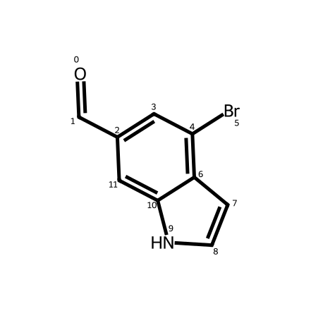 O=Cc1cc(Br)c2cc[nH]c2c1